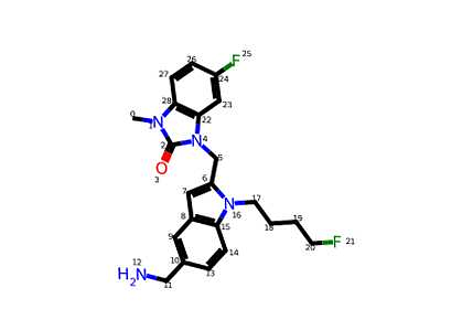 Cn1c(=O)n(Cc2cc3cc(CN)ccc3n2CCCCF)c2cc(F)ccc21